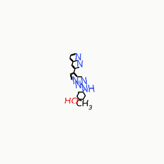 C[C@]1(O)CC[C@@H](Nc2ncc3c(-c4cnc5ncccc5c4)ccn3n2)CC1